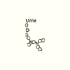 COCCOCCOCCOc1ccc(-n2c3ccccc3c3cc(N(c4ccc5ccccc5c4)c4ccc5ccccc5c4)ccc32)cc1